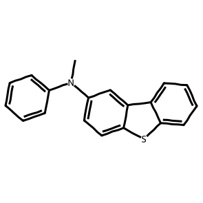 CN(c1ccccc1)c1ccc2sc3ccccc3c2c1